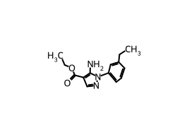 CCOC(=O)c1cnn(-c2cccc(CC)c2)c1N